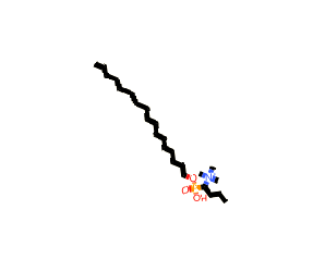 C=CCCCCCCCCCCCCCCCOP(=O)(O)C(CCC)[N+](C)(C)C